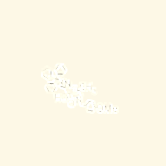 COc1ccc(CN2C[C@@H](C)OC(C(O)c3cn(C(c4ccccc4)(c4ccccc4)c4ccccc4)cn3)C2=O)cc1